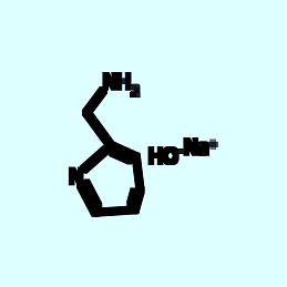 NCc1ccccn1.[Na+].[OH-]